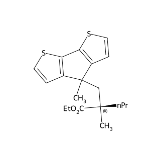 CCC[C@](C)(CC1(C)c2ccsc2-c2sccc21)C(=O)OCC